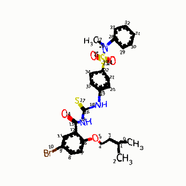 CC(C)CCOc1ccc(Br)cc1C(=O)NC(=S)Nc1ccc(S(=O)(=O)N(C)c2ccccc2)cc1